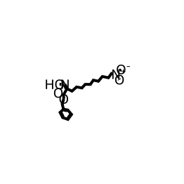 O=C(OCc1ccccc1)/C(CCCCCCCCCC[N+](=O)[O-])=N\O